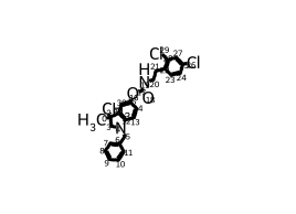 CC1(C)CN(Cc2ccccc2)c2ccc(OC(=O)NCCc3ccc(Cl)cc3Cl)cc21